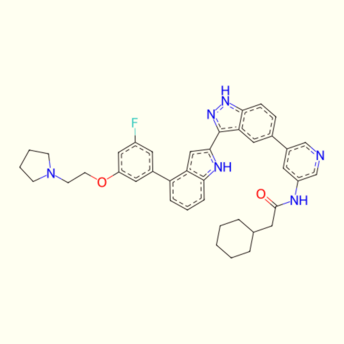 O=C(CC1CCCCC1)Nc1cncc(-c2ccc3[nH]nc(-c4cc5c(-c6cc(F)cc(OCCN7CCCC7)c6)cccc5[nH]4)c3c2)c1